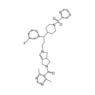 Cc1ncnc(C)c1C(=O)N1CC2=CN(CCC(c3cccc(F)c3)C3CCN(S(=O)(=O)c4ccccn4)CC3)CC2C1